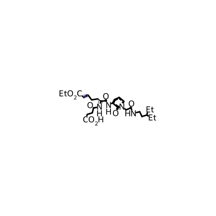 CCOC(=O)/C=C/CC[C@H](NC(=O)CCC(=O)O)C(=O)Nc1cccn(CC(=O)NCCC(CC)CC)c1=O